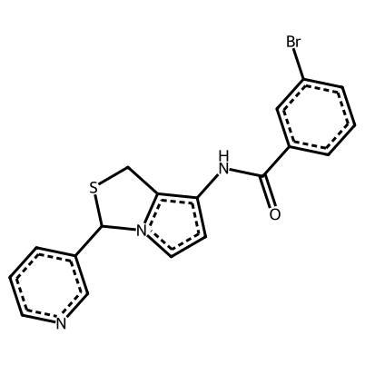 O=C(Nc1ccn2c1CSC2c1cccnc1)c1cccc(Br)c1